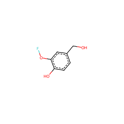 OCc1ccc(O)c(OF)c1